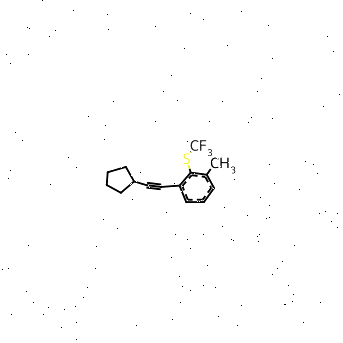 Cc1cccc(C#CC2CCCC2)c1SC(F)(F)F